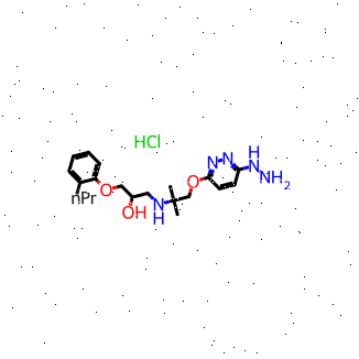 CCCc1ccccc1OCC(O)CNC(C)(C)COc1ccc(NN)nn1.Cl